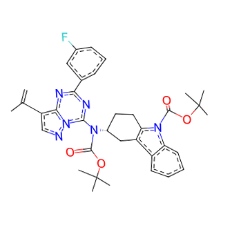 C=C(C)c1cnn2c(N(C(=O)OC(C)(C)C)[C@@H]3CCc4c(c5ccccc5n4C(=O)OC(C)(C)C)C3)nc(-c3cccc(F)c3)nc12